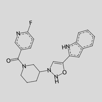 O=C(c1ccc(F)nc1)N1CCCC(N2C=C(c3cc4ccccc4[nH]3)ON2)C1